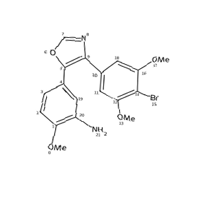 COc1ccc(-c2ocnc2-c2cc(OC)c(Br)c(OC)c2)cc1N